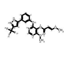 COC=CC(=O)Oc1c(OC)ncnc1Oc1cccc(-c2cc(C(F)(F)F)no2)c1